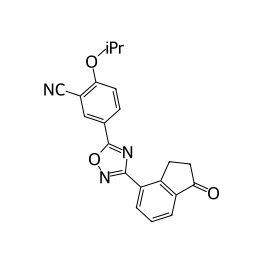 CC(C)Oc1ccc(-c2nc(-c3cccc4c3CCC4=O)no2)cc1C#N